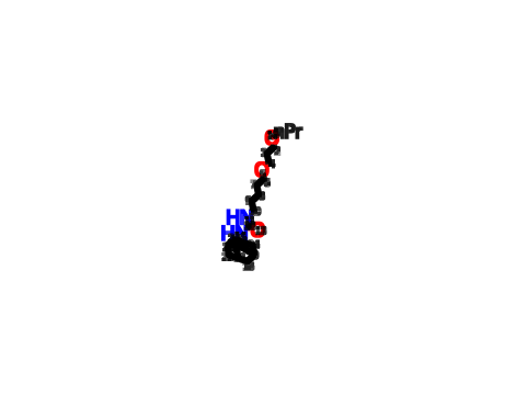 CCCOCCCOCCCCCNC(=O)NC12CC3CC(CC(C3)C1)C2